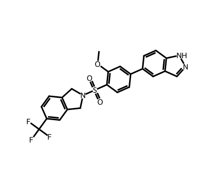 COc1cc(-c2ccc3[nH]ncc3c2)ccc1S(=O)(=O)N1Cc2ccc(C(F)(F)F)cc2C1